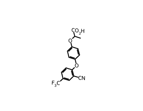 CC(Oc1ccc(Oc2ccc(C(F)(F)F)cc2C#N)cc1)C(=O)O